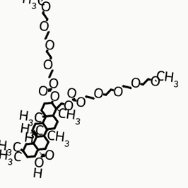 COCCOCCOCCOCCOC(=O)OC[C@]1(C)C(OC(=O)OCCOCCOCCOCCOC)CCC2(C)C1CC[C@]1(C)C2CC=C2[C@@H]3CC(C)(C)CC[C@]3(C(=O)O)CC[C@]21C